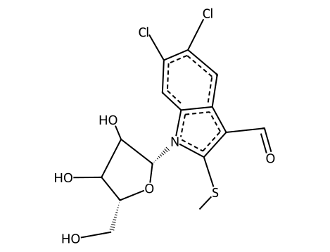 CSc1c(C=O)c2cc(Cl)c(Cl)cc2n1[C@@H]1O[C@H](CO)C(O)C1O